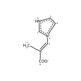 CC(=C[n+]1cc[nH]c1)C(=O)[O-]